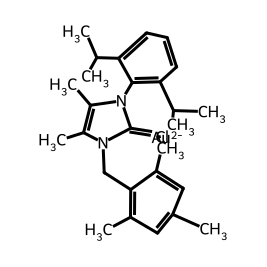 Cc1cc(C)c(Cn2c(C)c(C)n(-c3c(C(C)C)cccc3C(C)C)[c]2=[Au-2][Cl])c(C)c1